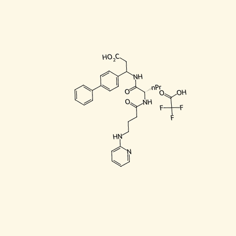 CCC[C@H](NC(=O)CCCNc1ccccn1)C(=O)NC(CC(=O)O)c1ccc(-c2ccccc2)cc1.O=C(O)C(F)(F)F